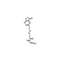 CCCCCNC(=O)CCSSCCC(=O)ON1C(=O)CCC1=O